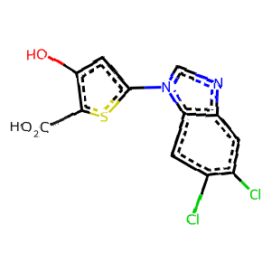 O=C(O)c1sc(-n2cnc3cc(Cl)c(Cl)cc32)cc1O